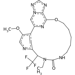 CCN1C(=O)NCCCCCOc2nc(cn3ncnc23)-c2cc(ncc2OC)C1C(F)(F)F